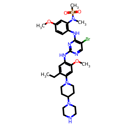 CCc1cc(Nc2ncc(Br)c(Nc3ccc(OC)cc3N(C)S(C)(=O)=O)n2)c(OC)cc1N1CCC(N2CCNCC2)CC1